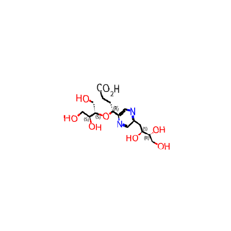 O=C(O)CC[C@@H](O[C@@H](CO)[C@@H](O)CO)c1cnc(C[C@H](O)[C@H](O)CO)cn1